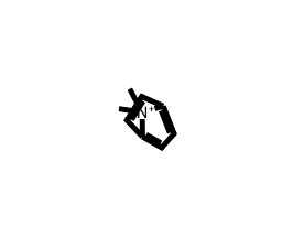 C[N+]1(C)C2=CC=C1C=C2